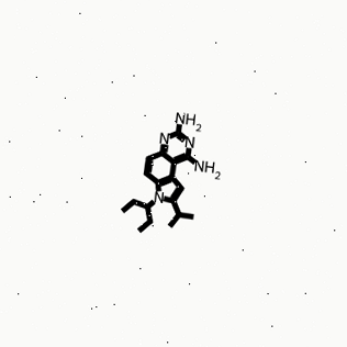 CCC(CC)n1c(C(C)C)cc2c3c(N)nc(N)nc3ccc21